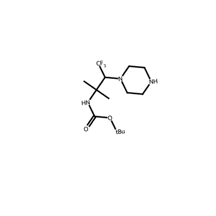 CC(C)(C)OC(=O)NC(C)(C)C(N1CCNCC1)C(F)(F)F